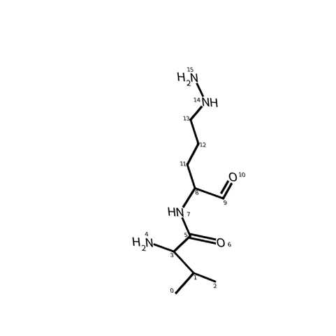 CC(C)C(N)C(=O)NC(C=O)CCCNN